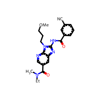 CCN(C)C(=O)c1cnc2c(c1)nc(NC(=O)c1cccc(C#N)c1)n2CCCOC